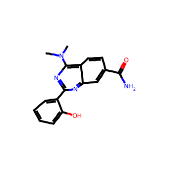 CN(C)c1nc(-c2ccccc2O)nc2cc(C(N)=O)ccc12